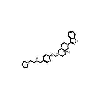 c1ccc2c(N3CCN4C[C@H](COc5ccc(CNCCN6CCCC6)cn5)CC[C@H]4C3)noc2c1